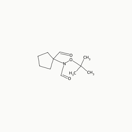 CC(C)(C)ON(C=O)C1(C=O)CCCC1